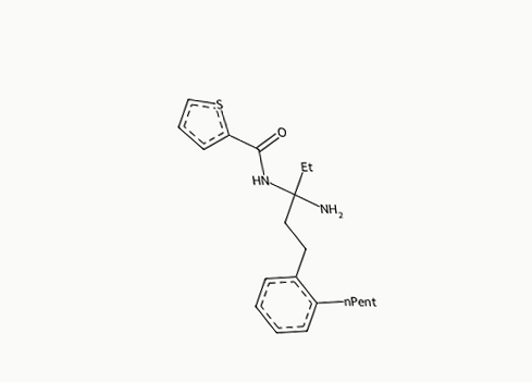 CCCCCc1ccccc1CCC(N)(CC)NC(=O)c1cccs1